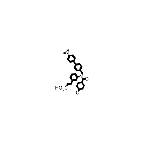 CN(C)c1ccc(-c2ccc(CN(C(=O)C3CCC(=O)CC3)c3cccc(C=CC(=O)O)c3)cc2)cc1